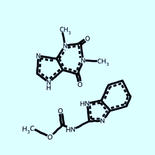 COC(=O)Nc1nc2ccccc2[nH]1.Cn1c(=O)c2[nH]cnc2n(C)c1=O